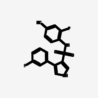 N#Cc1ccc(NS(=O)(=O)c2c[nH]cc2-c2cccc(F)c2)c(F)c1